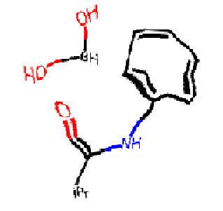 CC(C)C(=O)Nc1ccccc1.OBO